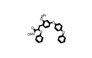 CCCOc1cc(Oc2ccc(Oc3ccccc3)cc2)ccc1CC(Oc1ccccc1)C(=O)OC